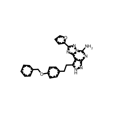 Nc1nc2n[nH]c(CCc3ccc(OCc4ccccc4)cc3)c2c2nc(-c3ccco3)nn12